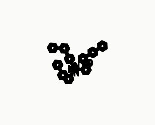 c1ccc(-c2ccc(-c3cccc4c3oc3cccc(-c5nc(-c6ccc(-c7cccc(-c8ccccc8)c7)cc6)nc(-c6cccc7ccc(-c8ccccc8)cc67)n5)c34)cc2)cc1